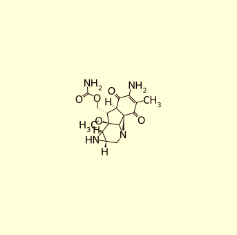 CO[C@@]12C3N(C[C@@H]4N[C@@H]41)[C@@]31C(=O)C(C)=C(N)C(=O)[C@@H]1[C@H]2COC(N)=O